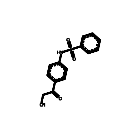 N#CCC(=O)c1ccc(NS(=O)(=O)c2ccccc2)cc1